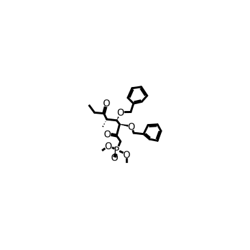 CCC(=O)[C@@H](C)[C@H](OCc1ccccc1)[C@@H](OCc1ccccc1)C(=O)CP(=O)(OC)OC